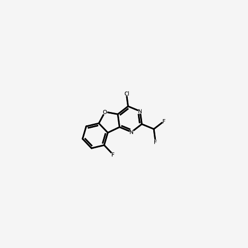 Fc1cccc2oc3c(Cl)nc(C(F)F)nc3c12